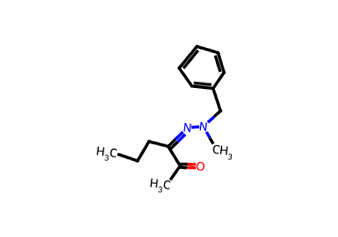 CCCC(=NN(C)Cc1ccccc1)C(C)=O